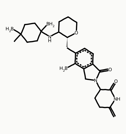 Bc1c(C[C@H]2OCCCC2NC2(B)CCC(B)(C)CC2)ccc2c1CN(C1CCC(=C)NC1=O)C2=O